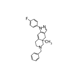 CC12Cc3cnn(-c4ccc(F)cc4)c3C=C1CCN(Cc1ccccc1)C2